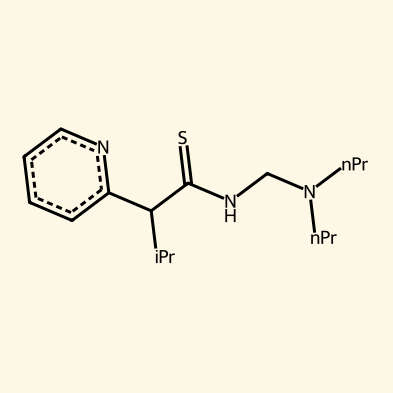 CCCN(CCC)CNC(=S)C(c1ccccn1)C(C)C